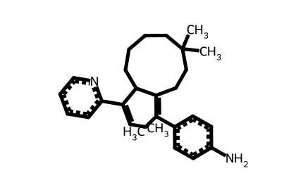 C/C=C(/c1ccccn1)C1CCCCC(C)(C)CC/C1=C(/C)c1ccc(N)cc1